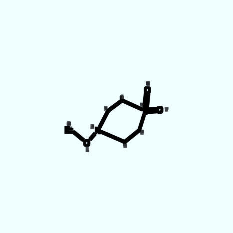 CCON1CCS(=O)(=O)CC1